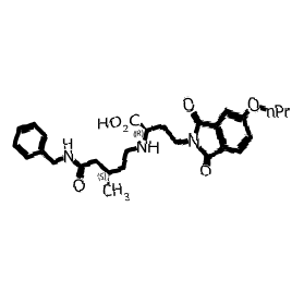 CCCOc1ccc2c(c1)C(=O)N(CC[C@@H](NCC[C@H](C)CC(=O)NCc1ccccc1)C(=O)O)C2=O